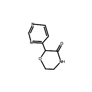 O=C1NCCOC1c1ccn[c]n1